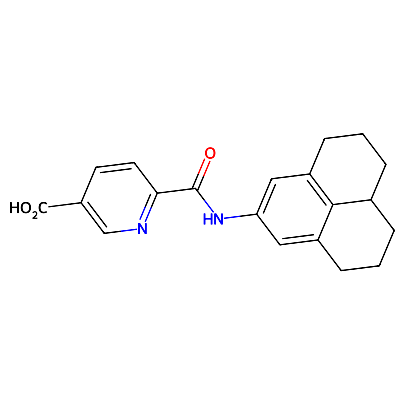 O=C(O)c1ccc(C(=O)Nc2cc3c4c(c2)CCCC4CCC3)nc1